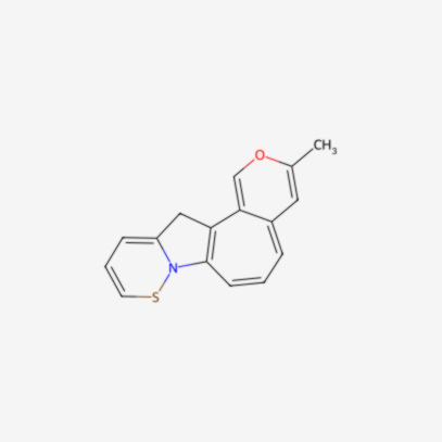 CC1=CC2=CC=CC3=C(CC4=CC=CSN43)C2=CO1